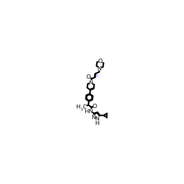 CC(C(=O)Nc1cc(C2CC2)[nH]n1)c1ccc(C2=CCN(C(=O)/C=C/CN3CCOCC3)CC2)cc1